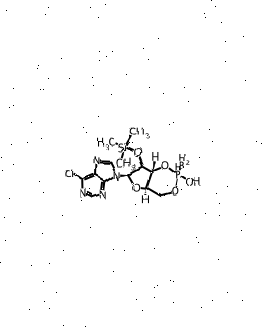 B[PH]1(O)OC[C@H]2O[C@@H](n3cnc4c(Cl)ncnc43)C(O[Si](C)(C)C)[C@@H]2O1